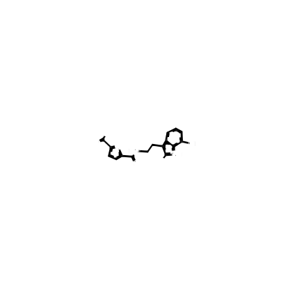 CC(=O)c1ccc(C(=O)NCCc2c(C)[nH]c3c(C)cccc23)s1